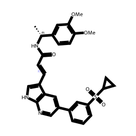 COc1ccc([C@@H](C)NC(=O)/C=C/c2c[nH]c3ncc(-c4cccc(S(=O)(=O)C5CC5)c4)cc23)cc1OC